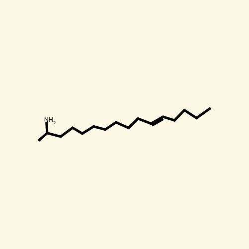 CCCCC=CCCCCCCCCC(C)N